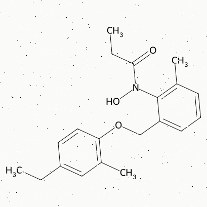 CCC(=O)N(O)c1c(C)cccc1COc1ccc(CC)cc1C